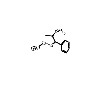 CC(N)C(OOC(C)(C)C)c1ccccc1